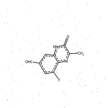 Cc1nc2c(F)cc(C=O)cc2[nH]c1=O